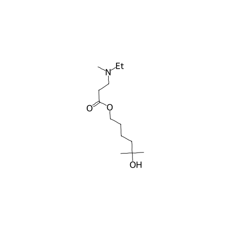 CCN(C)CCC(=O)OCCCCC(C)(C)O